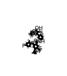 Cc1cc(F)ccc1Oc1cc(C2CC2)c(C(F)(F)F)cc1C(=O)Nc1ccc(F)c(C(N[S+]([O-])C(C)(C)C)C(F)CO)c1